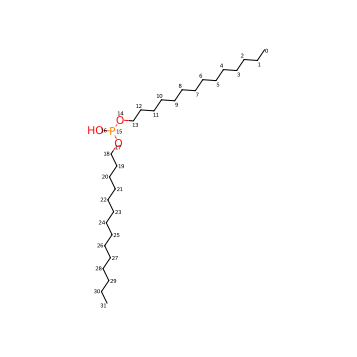 CCCCCCCCCCCCCCOP(O)OCCCCCCCCCCCCCC